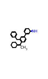 CC(=C1CCCCC1)c1ccc(C2=CC(=N)CC=C2)cc1Cc1ccccc1